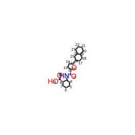 O=C(Nc1ccccc1C(=O)O)c1ccc(-c2ccc3ccccc3c2)o1